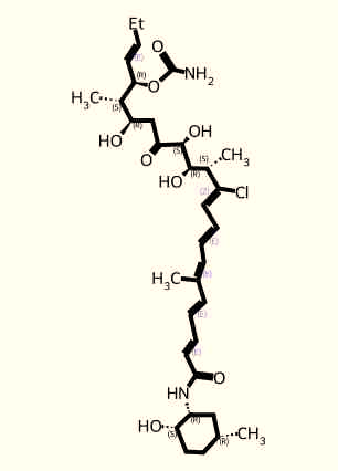 CC/C=C/[C@@H](OC(N)=O)[C@@H](C)[C@H](O)CC(=O)[C@@H](O)[C@H](O)[C@H](C)/C(Cl)=C/C=C/C=C(C)/C=C/C=C/C(=O)N[C@@H]1C[C@H](C)CC[C@@H]1O